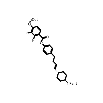 CCCCCCCCOc1ccc(C(=O)Oc2ccc(CCC=C[C@H]3CC[C@H](CCCCC)CC3)cc2)c(F)c1F